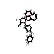 O=C1NCC(Cc2ccccn2)(c2cccc(C(F)(F)F)c2)N1c1ccc(Oc2ccc(Cl)cc2)cc1